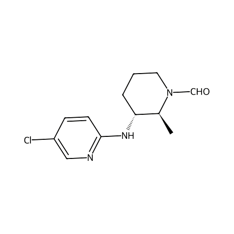 C[C@H]1[C@H](Nc2ccc(Cl)cn2)CCCN1C=O